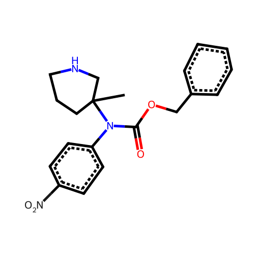 CC1(N(C(=O)OCc2ccccc2)c2ccc([N+](=O)[O-])cc2)CCCNC1